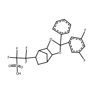 O=S(=O)(O)C(F)(F)C(F)(F)C1CC2CC1C1OC(c3ccccc3)(c3cc(F)cc(F)c3)OC21